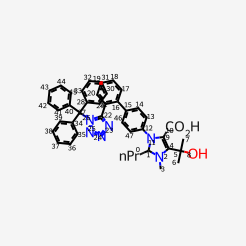 CCCC1N(C)C(C(C)(C)O)=C(C(=O)O)N1c1ccc(-c2ccccc2-c2nnnn2C(c2ccccc2)(c2ccccc2)c2ccccc2)cc1